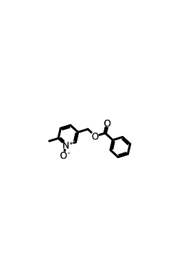 Cc1ccc(COC(=O)c2ccccc2)c[n+]1[O-]